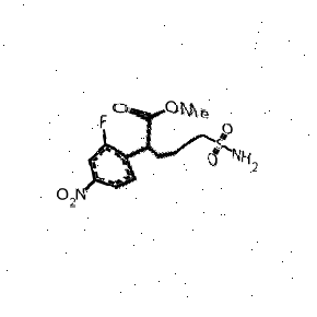 COC(=O)C(CCS(N)(=O)=O)c1ccc([N+](=O)[O-])cc1F